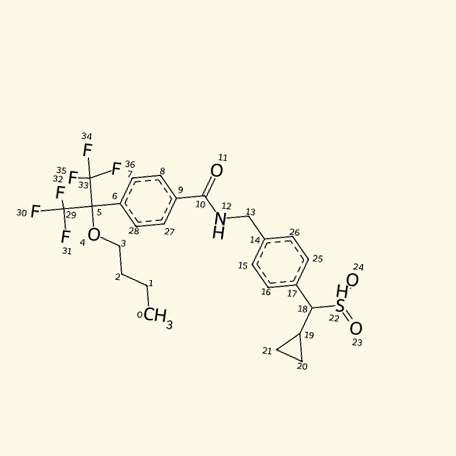 CCCCOC(c1ccc(C(=O)NCc2ccc(C(C3CC3)[SH](=O)=O)cc2)cc1)(C(F)(F)F)C(F)(F)F